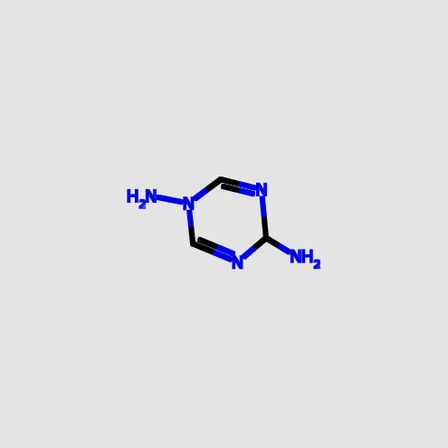 NC1N=CN(N)C=N1